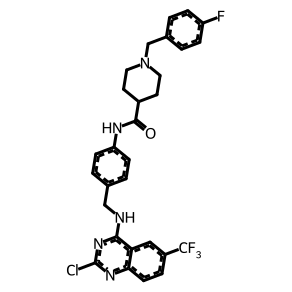 O=C(Nc1ccc(CNc2nc(Cl)nc3ccc(C(F)(F)F)cc23)cc1)C1CCN(Cc2ccc(F)cc2)CC1